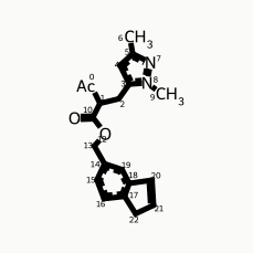 CC(=O)C(Cc1cc(C)nn1C)C(=O)OCc1ccc2c(c1)C=CC2